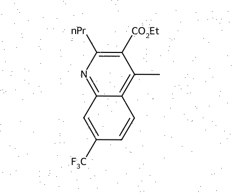 CCCc1nc2cc(C(F)(F)F)ccc2c(C)c1C(=O)OCC